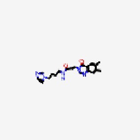 Cc1cc2ncn(C=CC(=O)NCCCCn3ccnc3)c(=O)c2cc1C